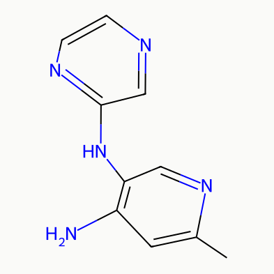 Cc1cc(N)c(Nc2cnccn2)cn1